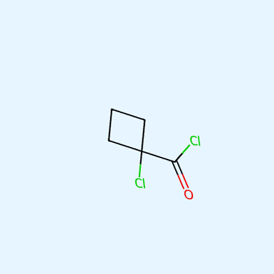 O=C(Cl)C1(Cl)CCC1